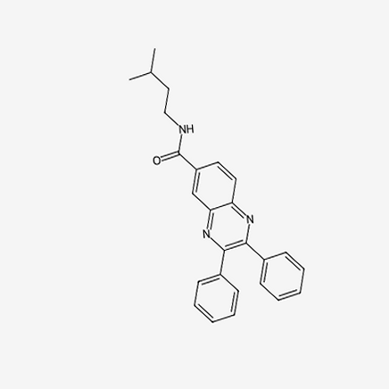 CC(C)CCNC(=O)c1ccc2nc(-c3ccccc3)c(-c3ccccc3)nc2c1